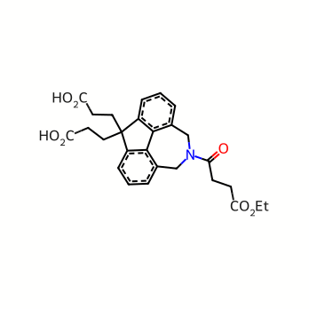 CCOC(=O)CCC(=O)N1Cc2cccc3c2-c2c(cccc2C3(CCC(=O)O)CCC(=O)O)C1